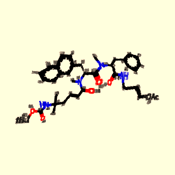 CC(=O)OCCCNC(=O)C(Cc1ccccc1)N(C)C(=O)[C@@H](Cc1ccc2ccccc2c1)N(C)C(=O)/C=C/CC(C)(C)NC(=O)OC(C)(C)C